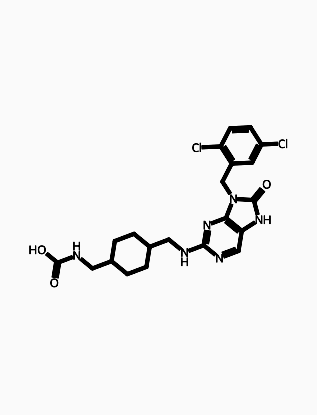 O=C(O)NCC1CCC(CNc2ncc3[nH]c(=O)n(Cc4cc(Cl)ccc4Cl)c3n2)CC1